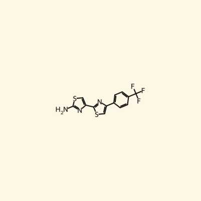 Nc1nc(-c2nc(-c3ccc(C(F)(F)F)cc3)cs2)cs1